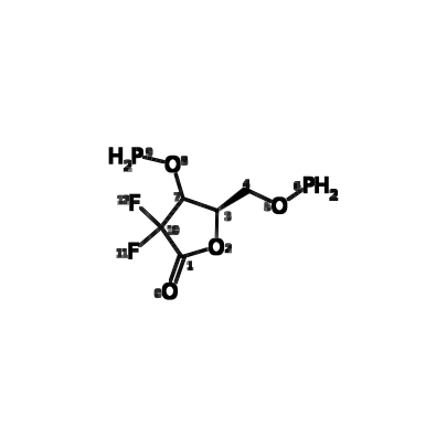 O=C1O[C@H](COP)C(OP)C1(F)F